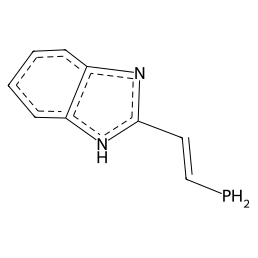 PC=Cc1nc2ccccc2[nH]1